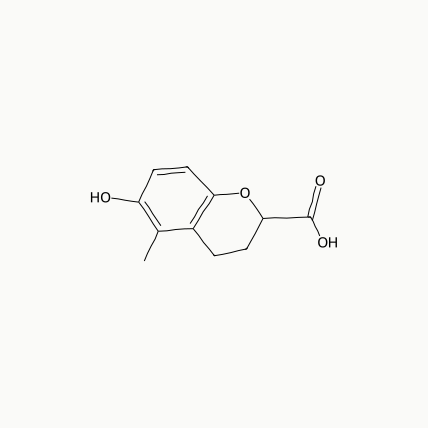 Cc1c(O)ccc2c1CCC(C(=O)O)O2